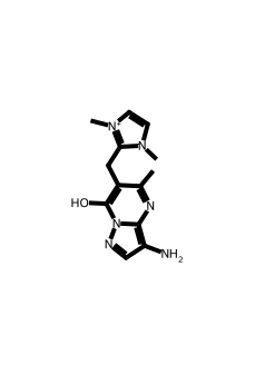 Cc1nc2c(N)cnn2c(O)c1Cc1n(C)cc[n+]1C